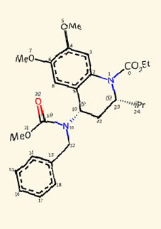 CCOC(=O)N1c2cc(OC)c(OC)cc2[C@@H](N(Cc2ccccc2)C(=O)OC)C[C@H]1C(C)C